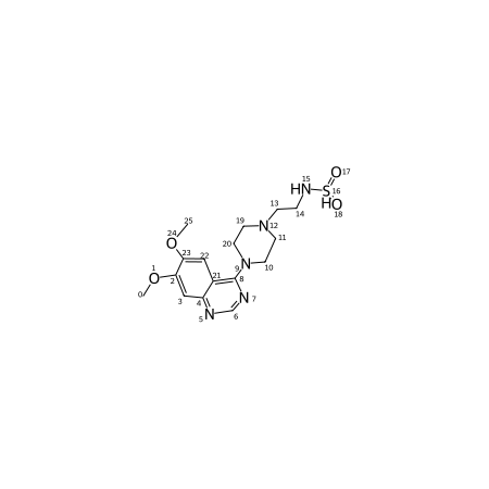 COc1cc2ncnc(N3CCN(CCN[SH](=O)=O)CC3)c2cc1OC